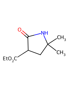 CCOC(=O)C1CC(C)(C)NC1=O